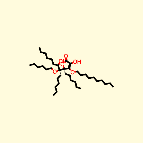 CCCCCCCCCCOC1=C(O)C(=O)O[C@]1(CCCCCC)[C@@](CCCCCC)(OCCCCCC)C(O)CCCCCC